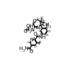 CC1(c2cc(NC(=O)c3ncc(C(N)=O)cc3F)ccc2F)N=C(N)COCC1(F)F.O=CO